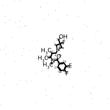 CC(CN1CC(F)(CO)C1)C(C)N(C)C(=O)c1ccc(F)c(F)c1